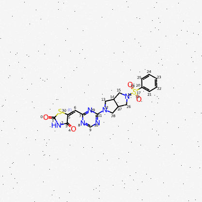 O=C1NC(=O)/C(=C\c2ncnc(N3CC4CN(S(=O)(=O)c5ccccc5)CC4C3)n2)S1